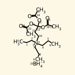 CCC[N+](CCC)(CCC)CCC(OC(C)=O)(OC(C)=O)OC(C)=O.[BH4-]